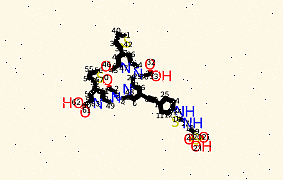 O=CCN(Cc1cc(C#Cc2ccc(NC(=S)NCCS(=O)(=O)O)cc2)cc(CN(CC(=O)O)Cc2cc(-c3cccs3)cc(C=O)n2)n1)Cc1cc(-c2cccs2)cc(C(=O)O)n1